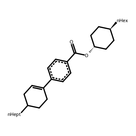 CCCCCCCC1CC=C(c2ccc(C(=O)O[C@H]3CC[C@H](CCCCCC)CC3)cc2)CC1